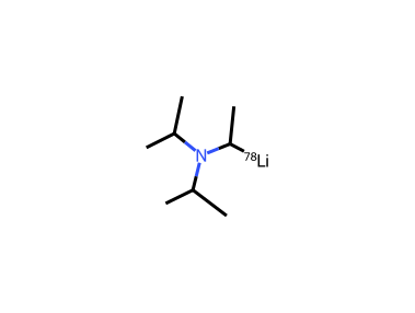 [78Li][CH](C)N(C(C)C)C(C)C